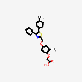 Cc1ccc(-c2sc(COc3ccc(OCC(=O)O)c(C)c3)nc2-c2ccccc2)cc1